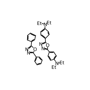 CCN(CC)c1ccc(-c2nnc(-c3ccc(N(CC)CC)cc3)o2)cc1.c1ccc(-c2nnc(-c3ccccc3)o2)cc1